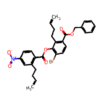 C=CCCc1cc([N+](=O)[O-])ccc1C(=O)Oc1c(Br)ccc(C(=O)OCc2ccccc2)c1CCC=C